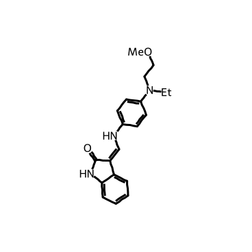 CCN(CCOC)c1ccc(N/C=C2\C(=O)Nc3ccccc32)cc1